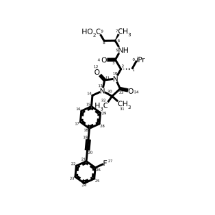 CC(C)C[C@@H](C(=O)N[C@H](C)CC(=O)O)N1C(=O)N(Cc2ccc(C#Cc3ccccc3F)cc2)C(C)(C)C1=O